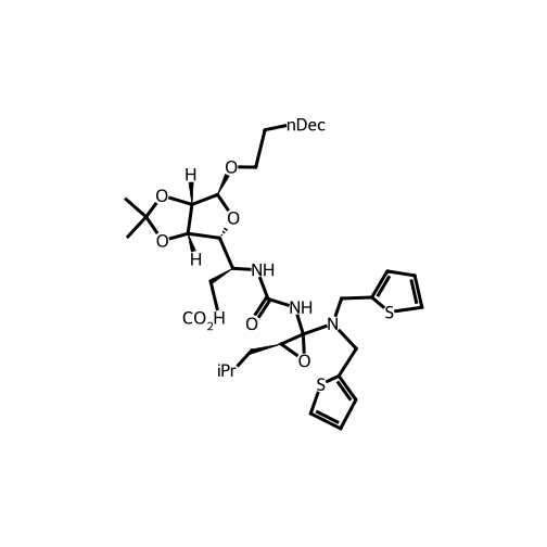 CCCCCCCCCCCCO[C@H]1O[C@H]([C@H](CC(=O)O)NC(=O)NC2(N(Cc3cccs3)Cc3cccs3)O[C@H]2CC(C)C)[C@@H]2OC(C)(C)O[C@H]12